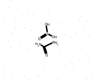 NC(N)=O.O=S(O)O